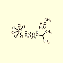 CC(C)O.O.O.O.O.O.O.[Cl][Pt]([Cl])([Cl])([Cl])([Cl])[Cl]